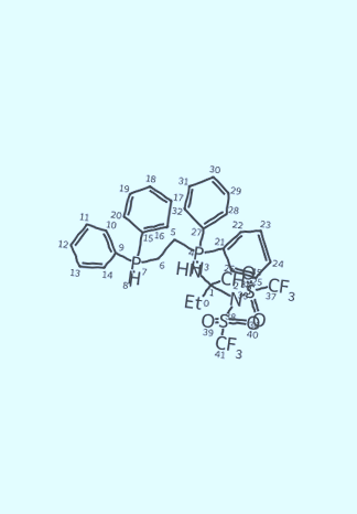 CCC(C)(N[PH](CC[PH](I)(c1ccccc1)c1ccccc1)(c1ccccc1)c1ccccc1)N(S(=O)(=O)C(F)(F)F)S(=O)(=O)C(F)(F)F